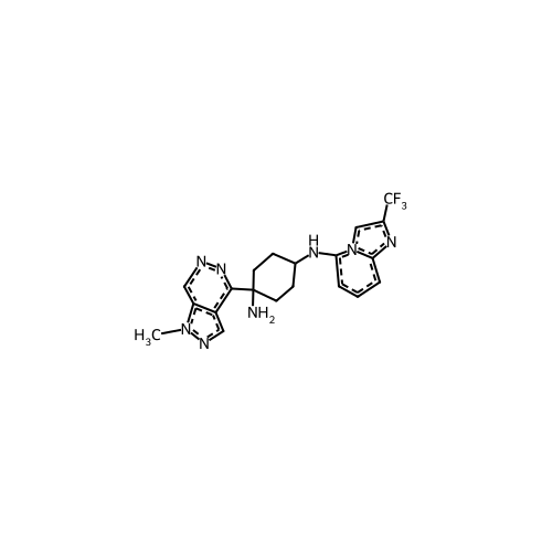 Cn1ncc2c(C3(N)CCC(Nc4cccc5nc(C(F)(F)F)cn45)CC3)nncc21